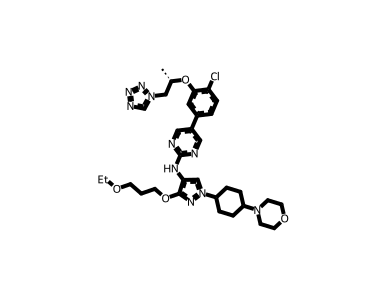 CCOCCCOc1nn(C2CCC(N3CCOCC3)CC2)cc1Nc1ncc(-c2ccc(Cl)c(O[C@@H](C)Cn3cnnn3)c2)cn1